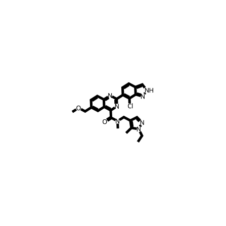 CCn1ncc(CN(C)C(=O)c2nc(-c3ccc4c[nH]nc4c3Cl)nc3ccc(COC)cc23)c1C